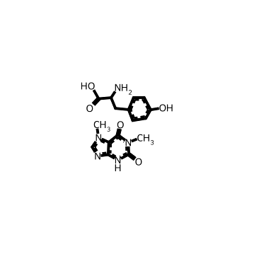 Cn1c(=O)[nH]c2ncn(C)c2c1=O.NC(Cc1ccc(O)cc1)C(=O)O